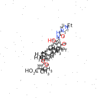 CCN1CCN(CC(=O)NC[C@H](O)[C@@]23CC[C@]4(C)[C@H](CC[C@@H]5[C@@]6(C)CC[C@H](OC(=O)[C@H]7C[C@@H](C(=O)O)C7(C)C)C(C)(C)[C@@H]6CC[C@]54C)C2=C(C(C)C)C(=O)C3)CC1